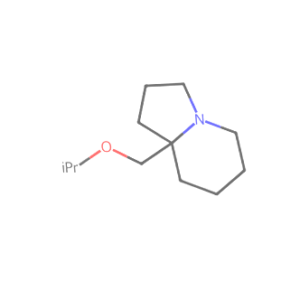 CC(C)OCC12CCCCN1CCC2